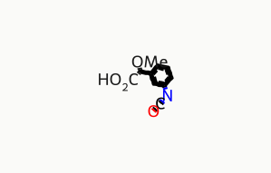 COC(C(=O)O)c1cccc(N=C=O)c1